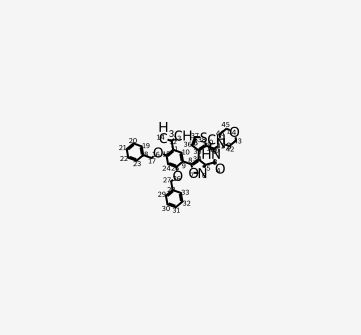 CCNC(=O)c1noc(-c2cc(C(C)C)c(OCc3ccccc3)cc2OCc2ccccc2)c1-c1ccsc1CN1CCOCC1